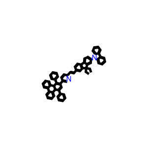 CCC1(CC)c2cc(/C=C/c3ccc(C4=C(c5ccccc5)C5c6ccccc6-c6ccccc6C5C(c5ccccc5)=C4)cn3)ccc2-c2ccc(-n3c4ccccc4c4ccccc43)cc21